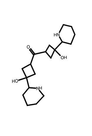 O=C(C1CC(O)(C2CCCCN2)C1)C1CC(O)(C2CCCCN2)C1